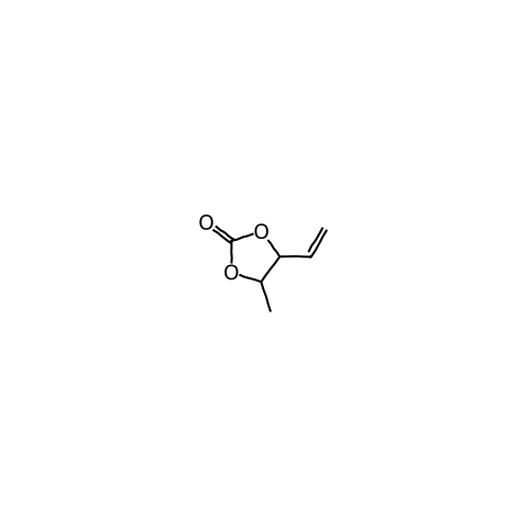 C=CC1OC(=O)OC1C